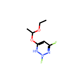 CCOC(C)OC1=CC(F)=NN(F)N1